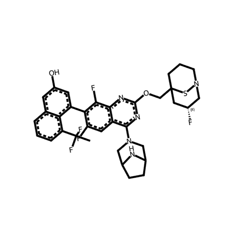 CC(F)(F)c1cccc2cc(O)cc(-c3c(F)cc4c(N5CC6CCC(C5)N6)nc(OCC56CCCN(C[C@H](F)C5)S6)nc4c3F)c12